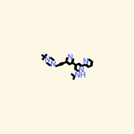 CC(C)Nc1cc(-c2cncc(C#CCN3CCN(C(C)(C)C)CC3)c2)cc(-c2ccccn2)n1